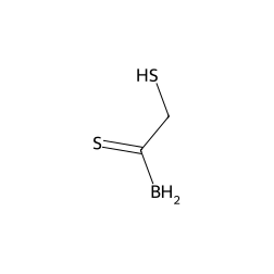 BC(=S)CS